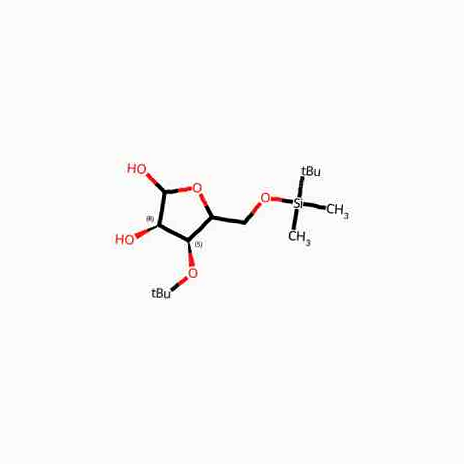 CC(C)(C)O[C@@H]1C(CO[Si](C)(C)C(C)(C)C)OC(O)[C@@H]1O